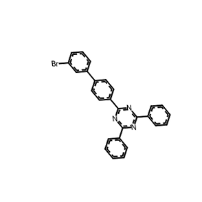 Brc1cccc(-c2ccc(-c3nc(-c4ccccc4)nc(-c4ccccc4)n3)cc2)c1